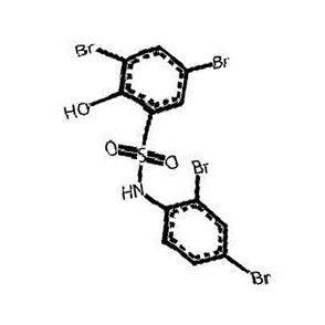 O=S(=O)(Nc1ccc(Br)cc1Br)c1cc(Br)cc(Br)c1O